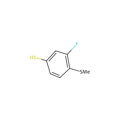 CSc1ccc(S)cc1F